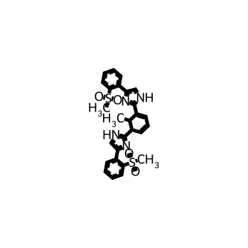 CC1C(c2nc(-c3ccccc3S(C)(=O)=O)c[nH]2)=CC=CC1c1nc(-c2ccccc2S(C)(=O)=O)c[nH]1